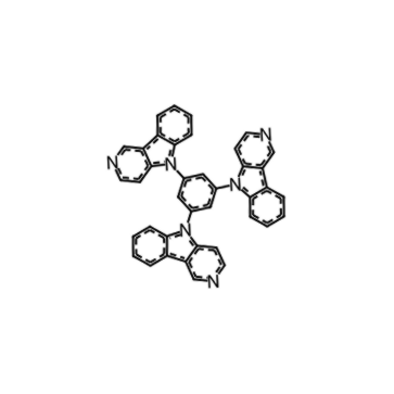 c1ccc2c(c1)c1cnccc1n2-c1cc(-n2c3ccccc3c3cnccc32)cc(-n2c3ccccc3c3cnccc32)c1